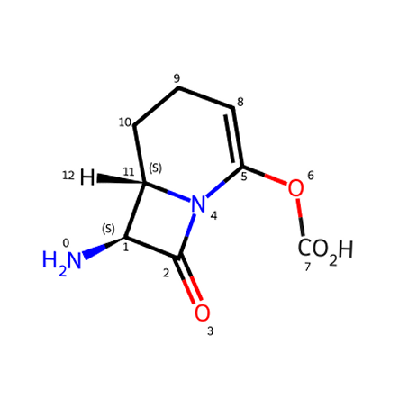 N[C@@H]1C(=O)N2C(OC(=O)O)=CCC[C@@H]12